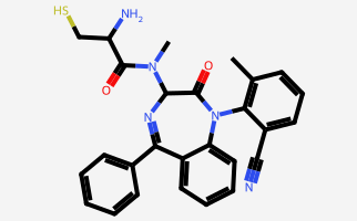 Cc1cccc(C#N)c1N1C(=O)C(N(C)C(=O)C(N)CS)N=C(c2ccccc2)c2ccccc21